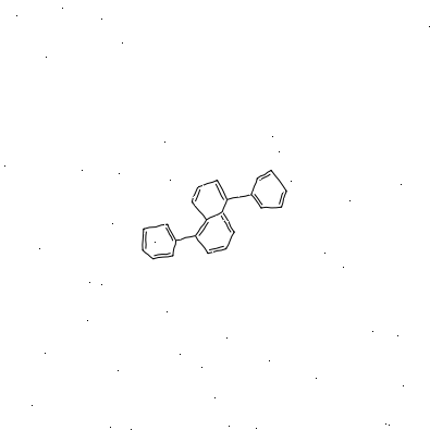 c1ccc(-c2cccc3c(-c4ccccc4)cccc23)cc1